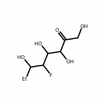 CCC(O)C(F)C(O)C(O)C(=O)CO